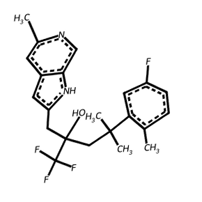 Cc1cc2cc(CC(O)(CC(C)(C)c3cc(F)ccc3C)C(F)(F)F)[nH]c2cn1